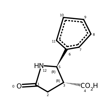 O=C1C[C@@H](C(=O)O)[C@H](c2ccccc2)N1